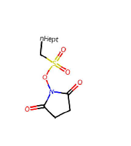 CCCCCCCCS(=O)(=O)ON1C(=O)CCC1=O